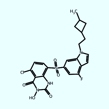 CC1CC(CCn2ccc3c(F)cc(S(=O)(=O)c4ccc(Cl)c5c(=O)n(O)c(=O)[nH]c45)cc32)C1